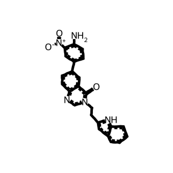 Nc1ccc(-c2ccc3ncn(CCc4cc5ccccc5[nH]4)c(=O)c3c2)cc1[N+](=O)[O-]